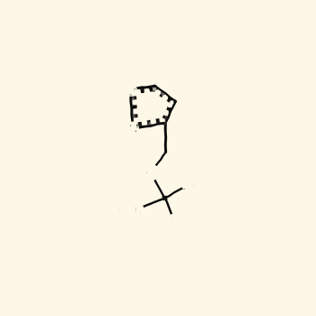 CCCCC(C)(CC)OCc1ccon1